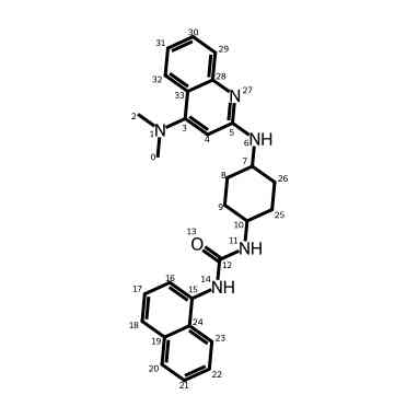 CN(C)c1cc(NC2CCC(NC(=O)Nc3cccc4ccccc34)CC2)nc2ccccc12